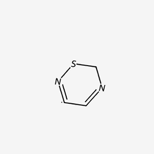 [C]1=NSCN=C1